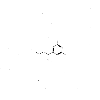 N[C@H](CCO)c1cc(F)cc(Br)c1